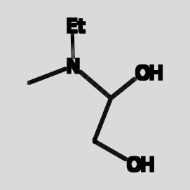 CCN(C)C(O)CO